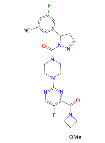 COC1CN(C(=O)c2nc(N3CCN(C(=O)N4N=CCC4c4cc(F)cc(C#N)c4)CC3)ncc2F)C1